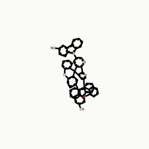 N#Cc1ccc2c(c1)c1ccccc1n2-c1ccc2c(c1)C1(c3ccccc3O2)c2cc(N3c4ccccc4Oc4ccccc43)cnc2-c2ncc(-n3c4ccccc4c4cc(C#N)ccc43)cc21